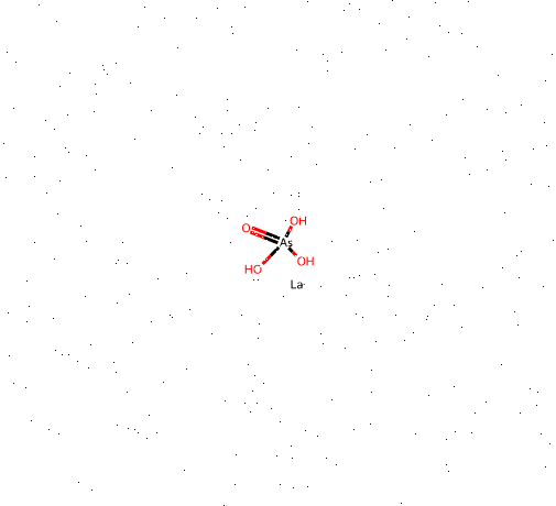 O=[As](O)(O)O.[La]